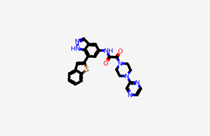 O=C(Nc1cc(-c2cc3ccccc3s2)c2[nH]ncc2c1)C(=O)N1CCN(c2cnccn2)CC1